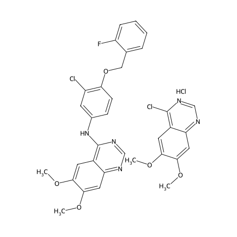 COc1cc2ncnc(Cl)c2cc1OC.COc1cc2ncnc(Nc3ccc(OCc4ccccc4F)c(Cl)c3)c2cc1OC.Cl